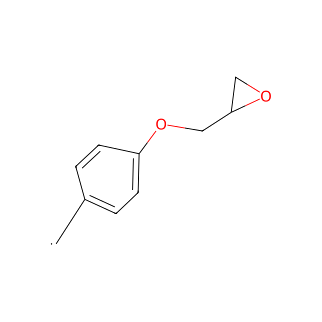 [CH2]c1ccc(OCC2CO2)cc1